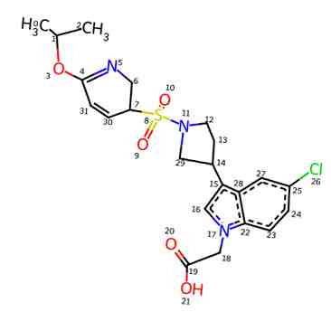 CC(C)OC1=NCC(S(=O)(=O)N2CCC(c3cn(CC(=O)O)c4ccc(Cl)cc34)C2)C=C1